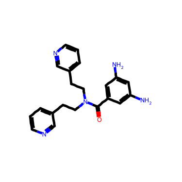 Nc1cc(N)cc(C(=O)N(CCc2cccnc2)CCc2cccnc2)c1